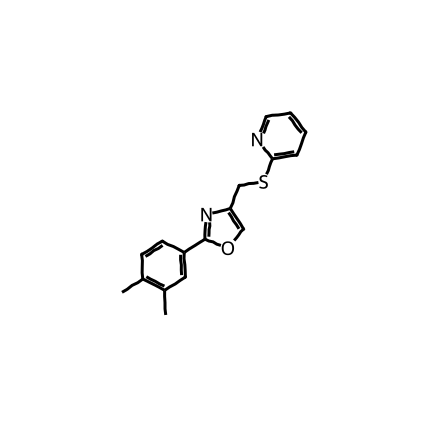 Cc1ccc(-c2nc(CSc3ccccn3)co2)cc1C